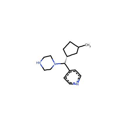 CC1CC[C@@H](C(c2ccncc2)N2CCNCC2)C1